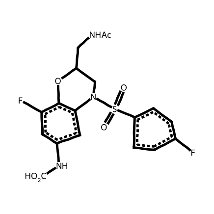 CC(=O)NCC1CN(S(=O)(=O)c2ccc(F)cc2)c2cc(NC(=O)O)cc(F)c2O1